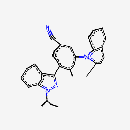 Cc1c(-c2nn(C(C)C)c3ccccc23)cc(C#N)cc1-[n+]1c(C)ccc2ccccc21